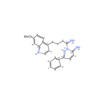 COc1ccc2c(CCCC(=N)n3nc(-c4ccccc4)ccc3=N)ccnc2c1